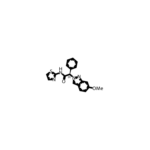 COc1ccc2cn([C@@H](C(=O)Nc3nccs3)c3ccccc3)nc2c1